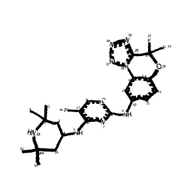 CC1(C)CC(Nc2nc(Nc3ccc4c(c3)-n3nnnc3C(F)(F)O4)ncc2F)CC(C)(C)N1